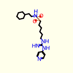 N=C(NCCCCCCS(=O)(=O)NCCC1CCCCC1)Nc1ccncc1